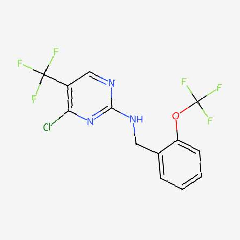 FC(F)(F)Oc1ccccc1CNc1ncc(C(F)(F)F)c(Cl)n1